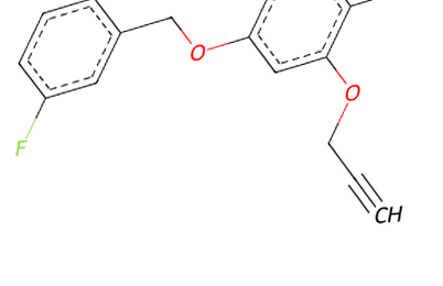 C#CCOc1cc(OCc2cccc(F)c2)ccc1F